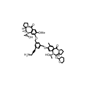 COc1cc2c(cc1OCc1cc(C#CCN)cc(COc3cc4c(cc3C)C(=O)N3CCC[C@H]3[C@H](OC3CCCCO3)N4B(C)O)c1)N(B(C)O)[C@@H](C)[C@@H]1CCCN1C2=O